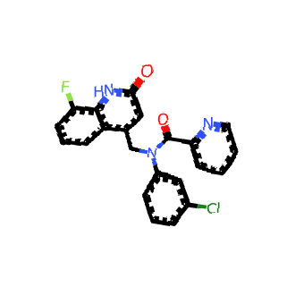 O=C(c1ccccn1)N(Cc1cc(=O)[nH]c2c(F)cccc12)c1cccc(Cl)c1